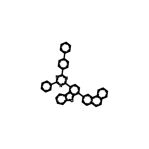 c1ccc(-c2ccc(-c3nc(-c4ccccc4)nc(-c4ccc(-c5ccc6ccc7ccccc7c6c5)c5oc6ccccc6c45)n3)cc2)cc1